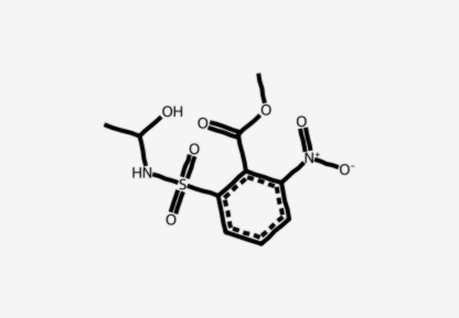 COC(=O)c1c([N+](=O)[O-])cccc1S(=O)(=O)NC(C)O